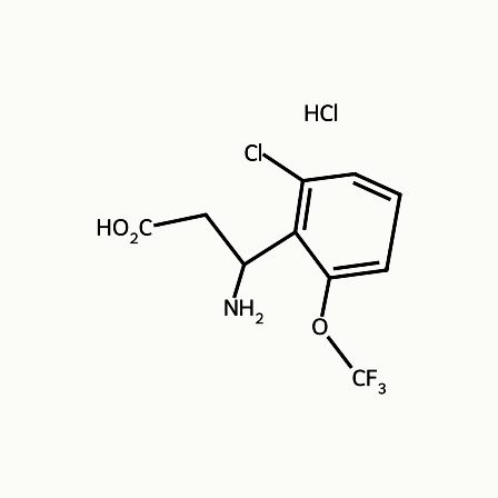 Cl.NC(CC(=O)O)c1c(Cl)cccc1OC(F)(F)F